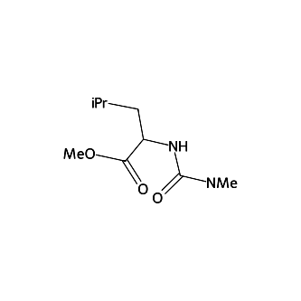 CNC(=O)NC(CC(C)C)C(=O)OC